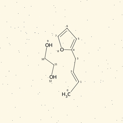 C/C=C/Cc1ccco1.OCCO